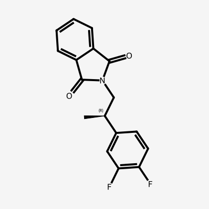 C[C@@H](CN1C(=O)c2ccccc2C1=O)c1ccc(F)c(F)c1